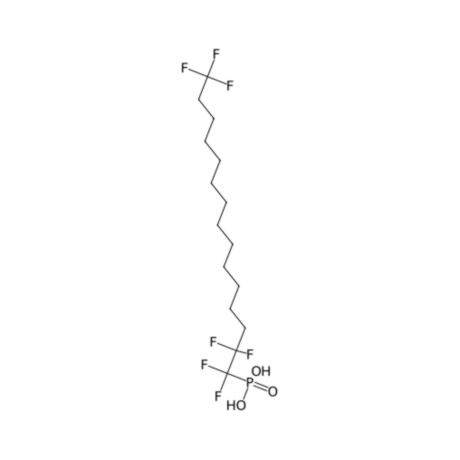 O=P(O)(O)C(F)(F)C(F)(F)CCCCCCCCCCCCC(F)(F)F